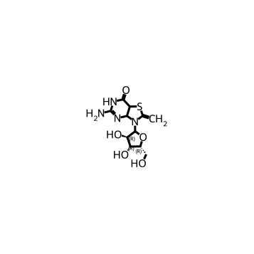 C=C1SC2C(=O)NC(N)=NC2N1C1O[C@H](CO)[C@H](O)[C@H]1O